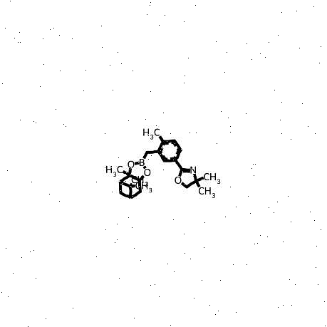 Cc1ccc(C2=NC(C)(C)CO2)cc1CB1OC2CC3CC(C3(C)C)C2(C)O1